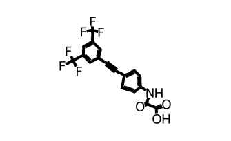 O=C(O)C(=O)Nc1ccc(C#Cc2cc(C(F)(F)F)cc(C(F)(F)F)c2)cc1